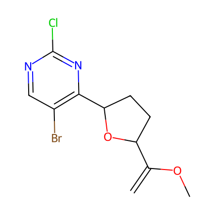 C=C(OC)C1CCC(c2nc(Cl)ncc2Br)O1